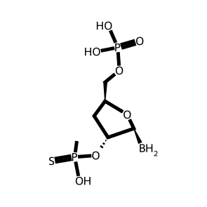 B[C@@H]1O[C@H](COP(=O)(O)O)C[C@H]1OP(C)(O)=S